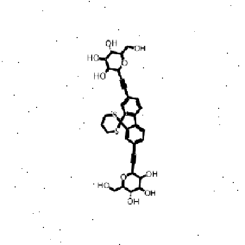 OCC1OC(C#Cc2ccc3c(c2)C2(SCCCS2)c2cc(C#CC4OC(CO)[C@@H](O)C(O)C4O)ccc2-3)C(O)C(O)[C@@H]1O